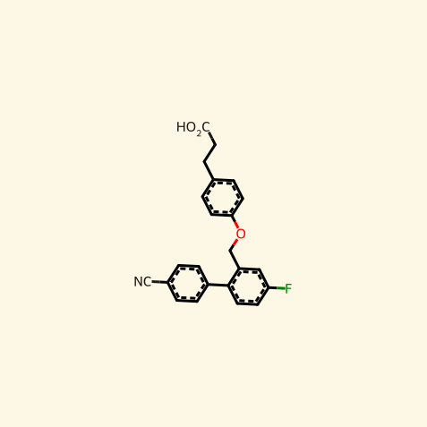 N#Cc1ccc(-c2ccc(F)cc2COc2ccc(CCC(=O)O)cc2)cc1